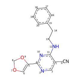 N#Cc1cnc(C2=COCO2)nc1NCCc1ccccc1